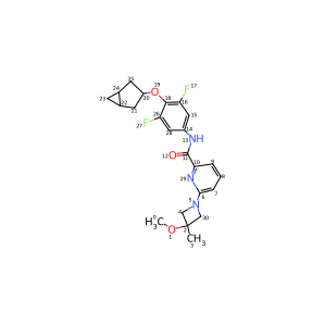 COC1(C)CN(c2cccc(C(=O)Nc3cc(F)c(OC4CC5CC5C4)c(F)c3)n2)C1